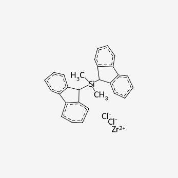 C[Si](C)(C1c2ccccc2-c2ccccc21)C1c2ccccc2-c2ccccc21.[Cl-].[Cl-].[Zr+2]